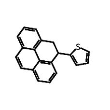 c1csc(C2Cc3cccc4ccc5cccc2c5c34)c1